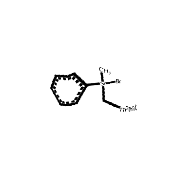 CCCCCC[Si](C)(Br)c1ccccc1